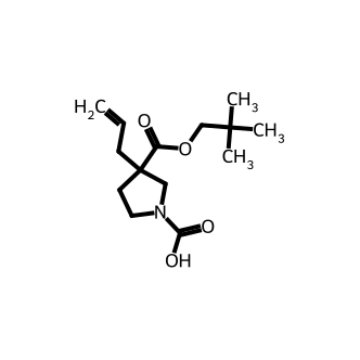 C=CCC1(C(=O)OCC(C)(C)C)CCN(C(=O)O)C1